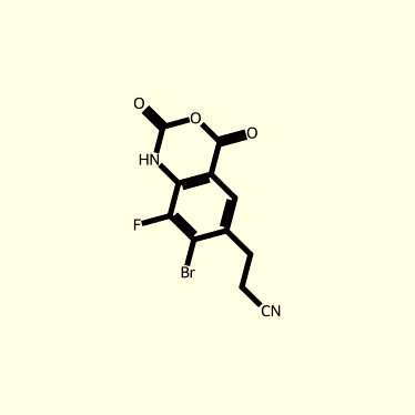 N#CCCc1cc2c(=O)oc(=O)[nH]c2c(F)c1Br